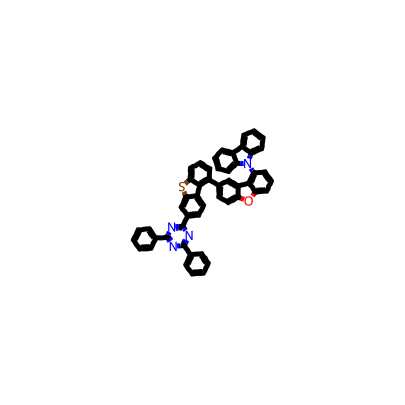 c1ccc(-c2nc(-c3ccccc3)nc(-c3ccc4c(c3)sc3cccc(-c5ccc6oc7cccc(-n8c9ccccc9c9ccccc98)c7c6c5)c34)n2)cc1